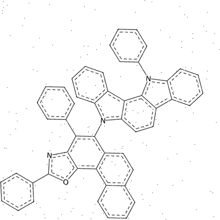 c1ccc(-c2nc3c(-c4ccccc4)c(-n4c5ccccc5c5c4ccc4c6ccccc6n(-c6ccccc6)c45)c4ccc5ccccc5c4c3o2)cc1